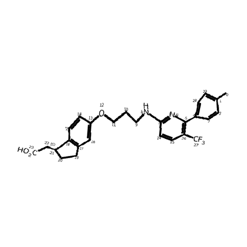 Cc1ccc(-c2nc(NCCCOc3ccc4c(c3)CC[C@H]4CC(=O)O)ccc2C(F)(F)F)cc1